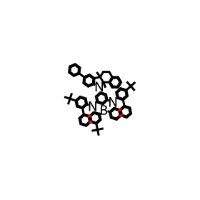 CC(C)(C)c1ccc2c(c1)B1c3ccccc3N(c3ccc(C(C)(C)C)cc3-c3ccccc3)c3cc(N4c5ccc(-c6ccccc6)cc5C5(C)CCc6ccccc6C45C)cc(c31)N2c1ccc(C(C)(C)C)cc1-c1ccccc1